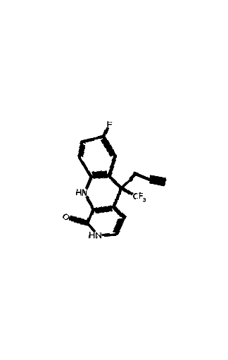 C#CCC1(C(F)(F)F)c2cc(F)ccc2Nc2c1cc[nH]c2=O